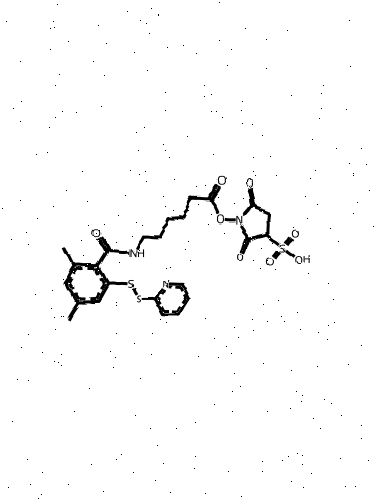 Cc1cc(C)c(C(=O)NCCCCCC(=O)ON2C(=O)CC(S(=O)(=O)O)C2=O)c(SSc2ccccn2)c1